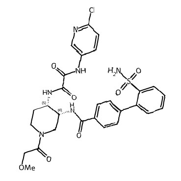 COCC(=O)N1CC[C@H](NC(=O)C(=O)Nc2ccc(Cl)nc2)[C@H](NC(=O)c2ccc(-c3ccccc3S(N)(=O)=O)cc2)C1